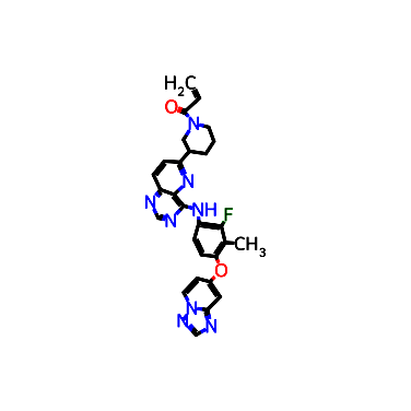 C=CC(=O)N1CCCC(c2ccc3ncnc(Nc4ccc(Oc5ccn6ncnc6c5)c(C)c4F)c3n2)C1